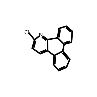 Clc1ccc2c3ccccc3c3ccccc3c2n1